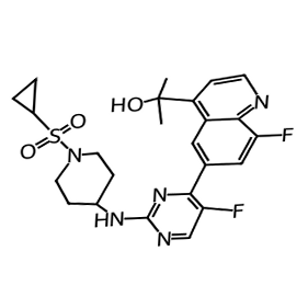 CC(C)(O)c1ccnc2c(F)cc(-c3nc(NC4CCN(S(=O)(=O)C5CC5)CC4)ncc3F)cc12